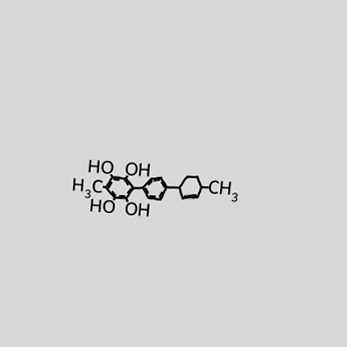 Cc1c(O)c(O)c(-c2ccc(C3C=CC(C)CC3)cc2)c(O)c1O